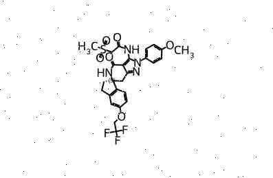 COc1ccc(-n2nc3c(c2NC(=O)CS(C)(=O)=O)C(=O)N[C@@]2(CCc4cc(OCC(F)(F)F)ccc42)C3)cc1